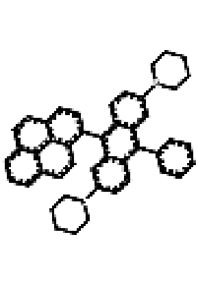 c1ccc(-c2c3cc(N4CCCCC4)ccc3c(-c3ccc4ccc5cccc6ccc3c4c56)c3cc(N4CCCCC4)ccc23)cc1